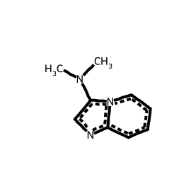 CN(C)c1cnc2ccccn12